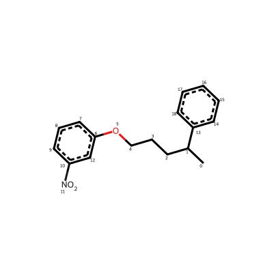 CC(CCCOc1cccc([N+](=O)[O-])c1)c1ccccc1